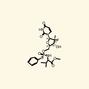 COC(=O)C(NP(=O)(OC[C@H]1O[C@@H](n2ccc(=O)[nH]c2=O)[C@](C)(F)[C@@H]1O)Oc1ccccc1)C(C)C